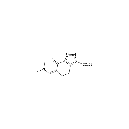 CCOC(=O)c1noc2c1CCC(=CN(C)C)C2=O